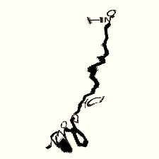 CN1CCN(C(=O)c2ccccc2COCCCCCCCCCCCCCCCCCCNC=O)CC1.Cl